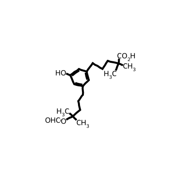 CC(C)(CCCc1cc(O)cc(CCCC(C)(C)C(=O)O)c1)OC=O